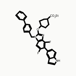 CCOC(=O)C1CCC(Oc2nc3c(F)c(-c4ccc5[nH]ccc5c4)c(F)cc3n2Cc2ccc(-c3ccccc3)cc2)CC1